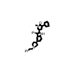 CC(C)CCN1CCC(c2ccc3[nH]c(-c4cc(-c5ccccc5)c(=O)n(C)c4)c(C(C)C)c3c2)CC1